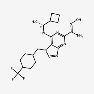 C[C@@H](Nc1nc(C(N)=NO)nc2ncn(CC3CCC(C(F)(F)F)CC3)c12)C1CCC1